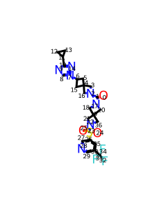 O=C(N1CC2(CC(n3cnc(C4CC4)n3)C2)C1)N1CC2(C1)CN(S(=O)(=O)c1cncc(C(F)(F)F)c1)C2